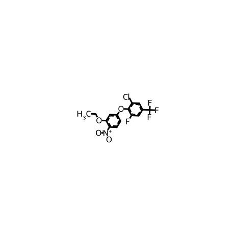 CCOc1cc(Oc2c(F)cc(C(F)(F)F)cc2Cl)ccc1[N+](=O)[O-]